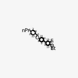 CCCC1C=CC(COc2ccc(-c3ccc(OCC)c(F)c3)cc2)CC1